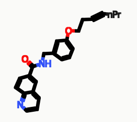 CCCC#CCCOc1cccc(CNC(=O)c2ccc3ncccc3c2)c1